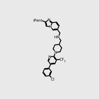 CCCC(C)c1cn2cc(CNCC3CCN(c4ncc(-c5cccc(Cl)c5)cc4C(F)(F)F)CC3)ccc2n1